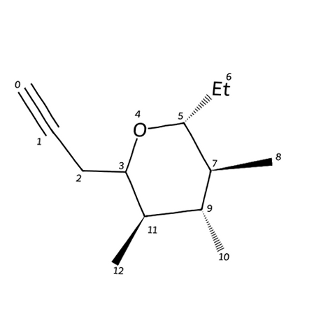 C#CCC1O[C@H](CC)[C@@H](C)[C@H](C)[C@H]1C